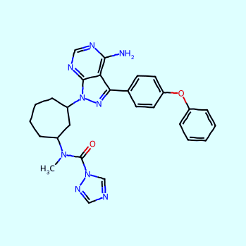 CN(C(=O)n1cncn1)C1CCCCC(n2nc(-c3ccc(Oc4ccccc4)cc3)c3c(N)ncnc32)C1